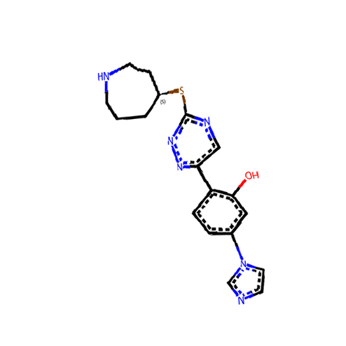 Oc1cc(-n2ccnc2)ccc1-c1cnc(S[C@H]2CCCNCC2)nn1